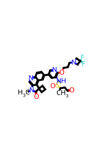 CC(CC=O)[S+]([O-])Nc1cc(-c2ccc3ncc4c(c3c2)C2(CCC2)C(=O)N4C)cnc1OCCCN1CC(F)(F)C1